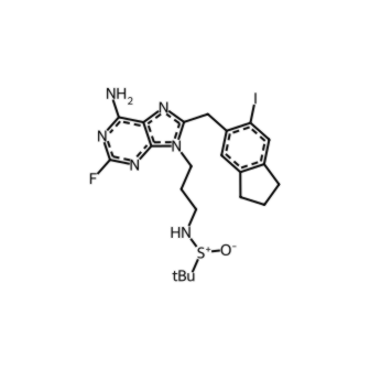 CC(C)(C)[S+]([O-])NCCCn1c(Cc2cc3c(cc2I)CCC3)nc2c(N)nc(F)nc21